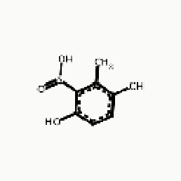 Cc1c(O)ccc(O)c1S(=O)O